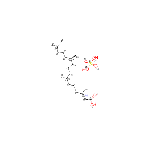 C/C(=C\C(=O)O)CCC[C@H](C)CCC[C@H](C)CCCC(C)C.O=S(=O)(O)O